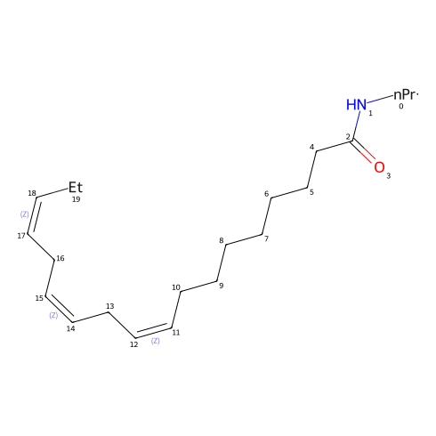 CC[CH]NC(=O)CCCCCCC/C=C\C/C=C\C/C=C\CC